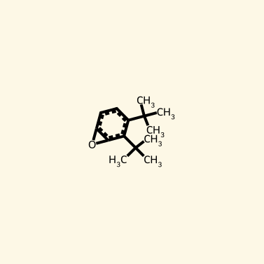 CC(C)(C)c1ccc2c(c1C(C)(C)C)O2